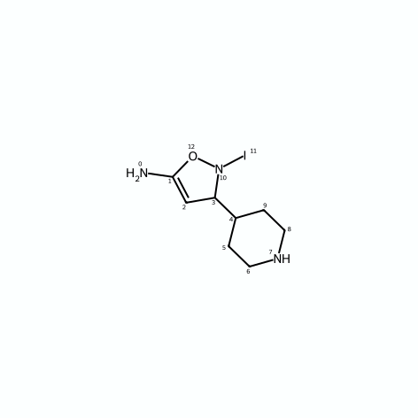 NC1=CC(C2CCNCC2)N(I)O1